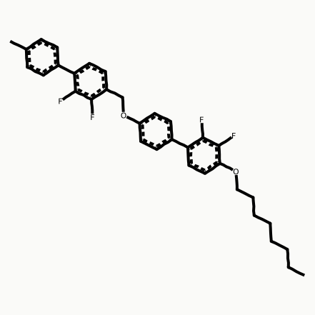 CCCCCCCCOc1ccc(-c2ccc(OCc3ccc(-c4ccc(C)cc4)c(F)c3F)cc2)c(F)c1F